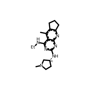 CCNc1nc(N[C@@H]2CCN(C)C2)nc2nc3c(c(C)c12)CCC3